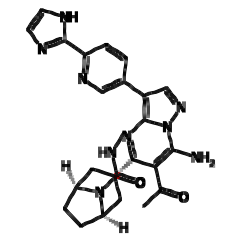 CNC(=O)N1[C@@H]2CC[C@H]1C[C@H](c1nc3c(-c4ccc(-c5ncc[nH]5)nc4)cnn3c(N)c1C(C)=O)C2